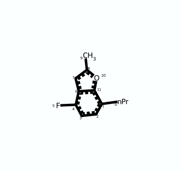 CCCc1ccc(F)c2cc(C)oc12